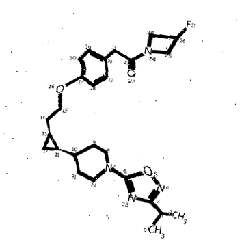 CC(C)c1noc(N2CCC([C@H]3C[C@H]3CCOc3ccc(CC(=O)N4CC(F)C4)cc3)CC2)n1